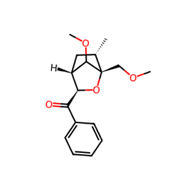 COC[C@]12O[C@@H](C(=O)c3ccccc3)[C@H](C[C@@H]1C)C2OC